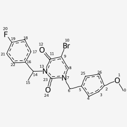 COc1ccc(Cn2cc(Br)c(=O)n(C(C)c3ccc(F)cc3)c2=O)cc1